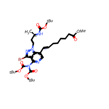 COC(=O)CCCCC/C=C/c1cnc(N(C(=O)OC(C)(C)C)C(=O)OC(C)(C)C)c2c(Br)nn(CC[C@@H](C)NC(=O)OC(C)(C)C)c12